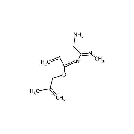 C=C/C(=N\C(CN)=N/C)OCC(=C)C